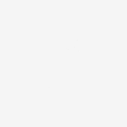 O=c1sc2c(s1)SC(c1ccc(Br)cc1)=CS2